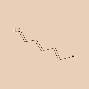 C=C/[C]=C/C=C/CC